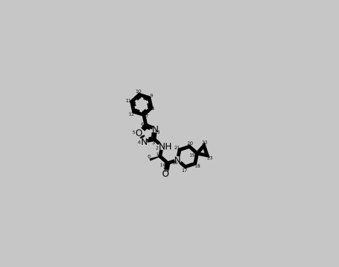 C[C@@H](Nc1noc(-c2ccccc2)n1)C(=O)N1CCC2(CC1)CC2